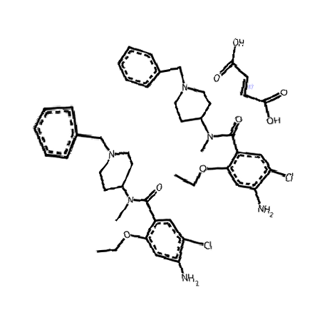 CCOc1cc(N)c(Cl)cc1C(=O)N(C)C1CCN(Cc2ccccc2)CC1.CCOc1cc(N)c(Cl)cc1C(=O)N(C)C1CCN(Cc2ccccc2)CC1.O=C(O)/C=C/C(=O)O